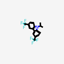 CC(C)n1c2ccc(C(F)(F)F)cc2c2cc(C(F)(F)F)ccc21